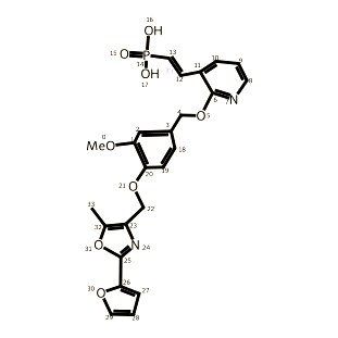 COc1cc(COc2ncccc2/C=C/P(=O)(O)O)ccc1OCc1nc(-c2ccco2)oc1C